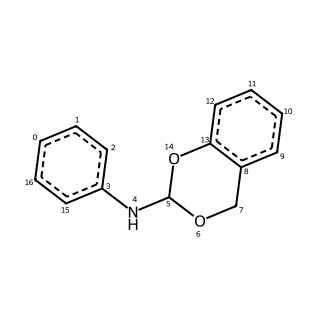 c1ccc(NC2OCc3ccccc3O2)cc1